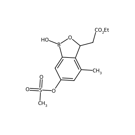 CCOC(=O)CC1OB(O)c2cc(OS(C)(=O)=O)cc(C)c21